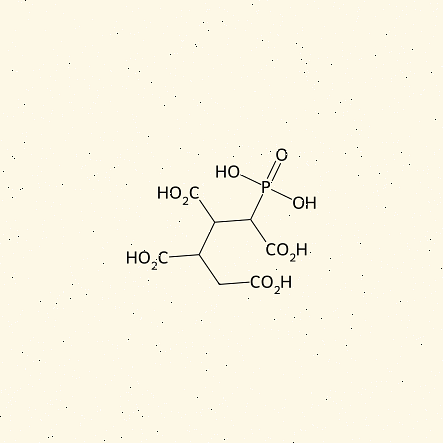 O=C(O)CC(C(=O)O)C(C(=O)O)C(C(=O)O)P(=O)(O)O